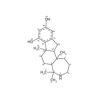 CC1(C)NCCCC2(C)C1CCC1(C)c3c(O)cc(O)cc3CC12